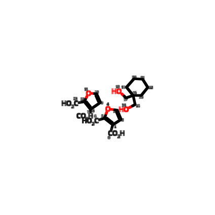 O=C(O)c1ccoc1C(=O)O.O=C(O)c1ccoc1C(=O)O.OCC1(CO)CCCCC1